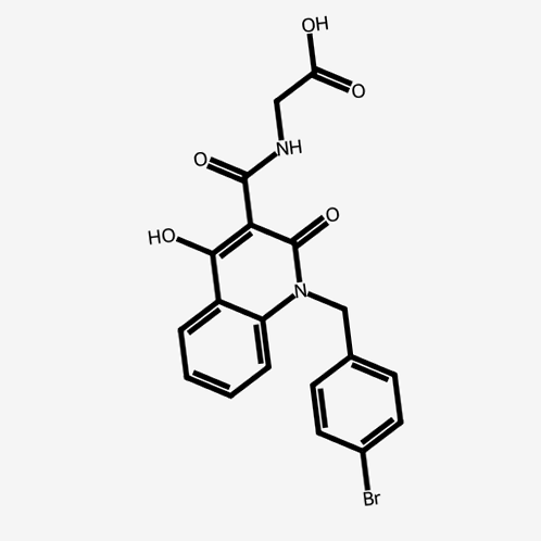 O=C(O)CNC(=O)c1c(O)c2ccccc2n(Cc2ccc(Br)cc2)c1=O